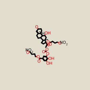 C[C@]12CCC(=O)C=C1CCC1C3CC[C@](OC(=O)CCCO[N+](=O)[O-])(C(=O)COC(=O)Oc4cc(C(=O)OCCCCO[N+](=O)[O-])cc(O)c4O)[C@@]3(C)C[C@H](O)[C@@H]12